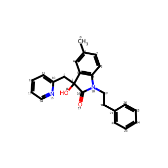 Cc1ccc2c(c1)C(O)(Cc1ccccn1)C(=O)N2CCc1ccccc1